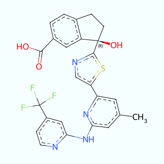 Cc1cc(Nc2cc(C(F)(F)F)ccn2)nc(-c2cnc([C@@]3(O)CCc4ccc(C(=O)O)cc43)s2)c1